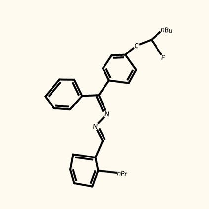 CCCCC(F)Cc1ccc(C(=NN=Cc2ccccc2CCC)c2ccccc2)cc1